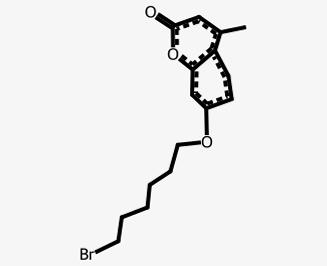 Cc1cc(=O)oc2cc(OCCCCCCBr)ccc12